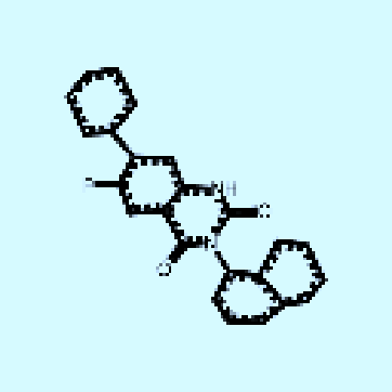 O=c1[nH]c2cc(-c3ccccc3)c(F)cc2c(=O)n1-c1cccc2ccccc12